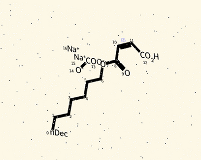 CCCCCCCCCCCCCCCCOC(=O)/C=C\C(=O)O.O=C([O-])[O-].[Na+].[Na+]